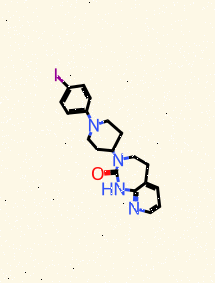 O=C1Nc2ncccc2CCN1C1CCN(c2ccc(I)cc2)CC1